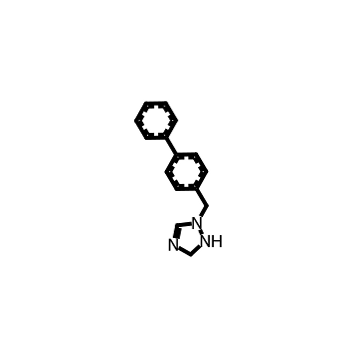 C1=NCNN1Cc1ccc(-c2ccccc2)cc1